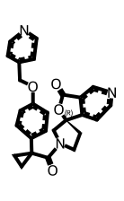 O=C1O[C@]2(CCN(C(=O)C3(c4ccc(OCc5ccncc5)cc4)CC3)C2)c2ccncc21